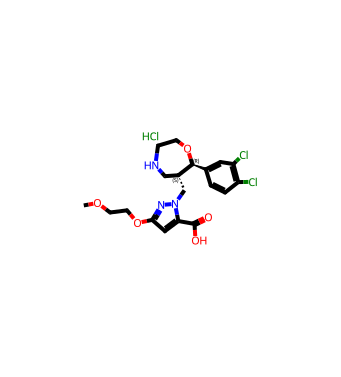 COCCOc1cc(C(=O)O)n(C[C@@H]2CNCCO[C@H]2c2ccc(Cl)c(Cl)c2)n1.Cl